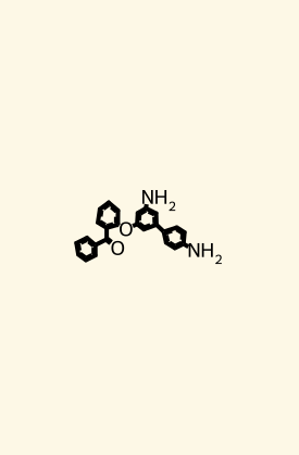 Nc1ccc(-c2cc(N)cc(Oc3ccccc3C(=O)c3ccccc3)c2)cc1